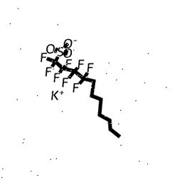 CCCCCCCC(F)(F)C(F)(F)C(F)(F)C(F)(F)S(=O)(=O)[O-].[K+]